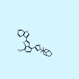 CC(C)N1C2CCC1CC(n1cc(-c3cnc(N)c4oc(-c5csc6cnccc56)cc34)cn1)C2